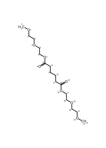 COCCOCCOC(=O)CCCCC(=O)OCCOCCOC